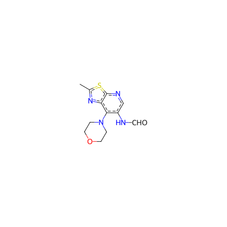 Cc1nc2c(N3CCOCC3)c(NC=O)cnc2s1